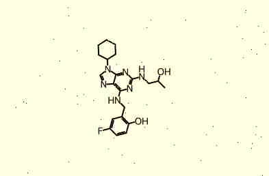 CC(O)CNc1nc(NCc2cc(F)ccc2O)c2ncn(C3CCCCC3)c2n1